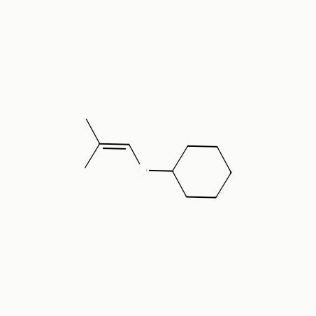 CC(C)=COC1CCCCC1